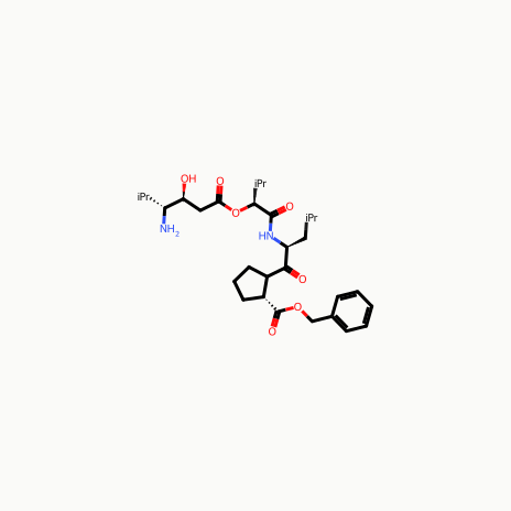 CC(C)C[C@H](NC(=O)[C@@H](OC(=O)C[C@H](O)[C@H](N)C(C)C)C(C)C)C(=O)C1CCC[C@H]1C(=O)OCc1ccccc1